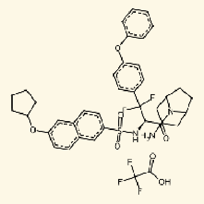 NC1CC2CCC(C1)N2C(=O)[C@@H](NS(=O)(=O)c1ccc2cc(OC3CCCC3)ccc2c1)C(F)(F)c1ccc(Oc2ccccc2)cc1.O=C(O)C(F)(F)F